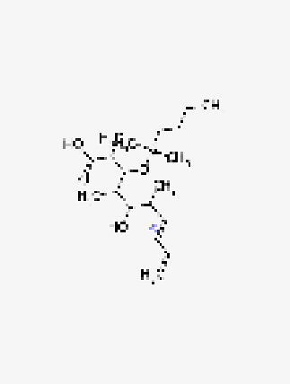 C=C/C=C/C(C)C(O)C(C)C(O[Si](C)(C)CCCC)C(C)C(=O)O